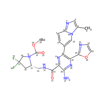 Cc1cnc2ccc(-c3nc(C(=O)NC[C@@H]4CC(F)(F)CN4C(=O)OC(C)(C)C)c(N)nc3-c3ncco3)cn12